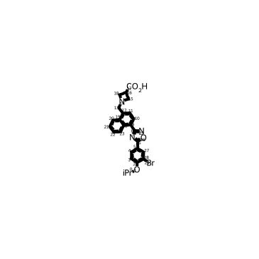 CC(C)Oc1ccc(-c2nc(-c3ccc(CN4CC(C(=O)O)C4)c4ccccc34)no2)cc1Br